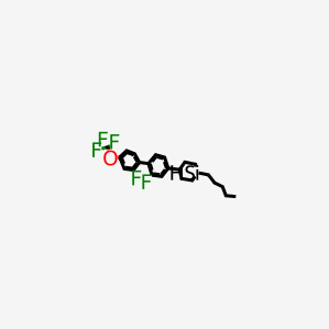 CCCCC[SiH]1CCC(c2ccc(-c3ccc(OC(F)(F)F)cc3F)c(F)c2)CC1